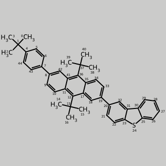 CC(C)(C)c1ccc(-c2ccc3c(C(C)(C)C)c4cc(-c5ccc6sc7ccccc7c6c5)ccc4c(C(C)(C)C)c3c2)cc1